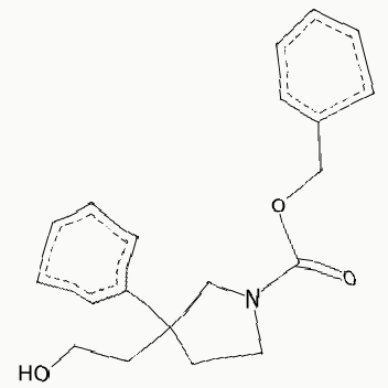 O=C(OCc1ccccc1)N1CCC(CCO)(c2ccccc2)C1